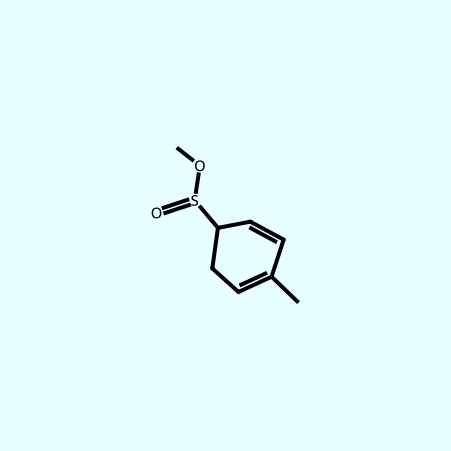 COS(=O)C1C=CC(C)=CC1